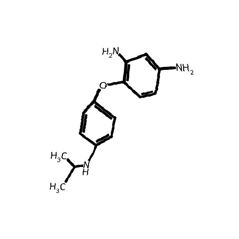 CC(C)Nc1ccc(Oc2ccc(N)cc2N)cc1